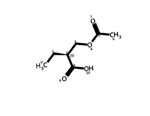 CC[C@@H](COC(C)=O)C(=O)O